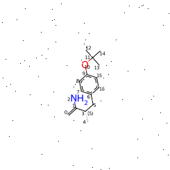 C=C(N)[C@@H](C)Cc1ccc(OC(C)(C)C)cc1